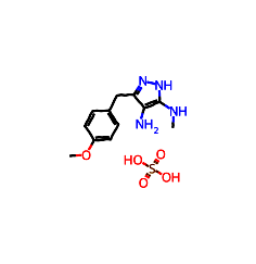 CNc1[nH]nc(Cc2ccc(OC)cc2)c1N.O=S(=O)(O)O